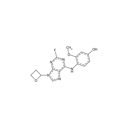 COc1cc(O)ccc1Nc1nc(F)nc2c1ncn2C1CCO1